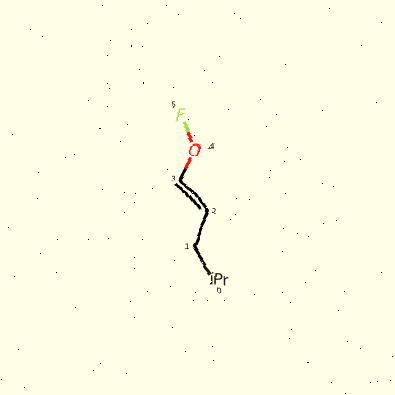 CC(C)CC=COF